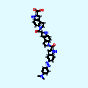 CN(C)c1ccc(/N=N/c2ccc3[nH]c(C(=O)N4CCc5c4ccc4c5CC(C(=O)N5CCc6c5ccc5[nH]c(C(=O)O)cc65)N4)cc3c2)cc1